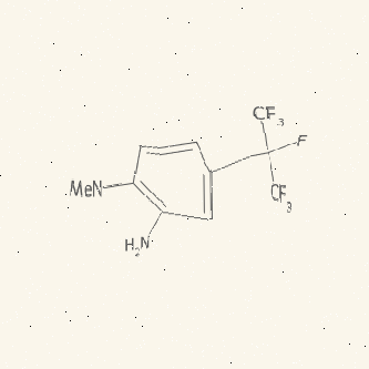 CNc1ccc(C(F)(C(F)(F)F)C(F)(F)F)cc1N